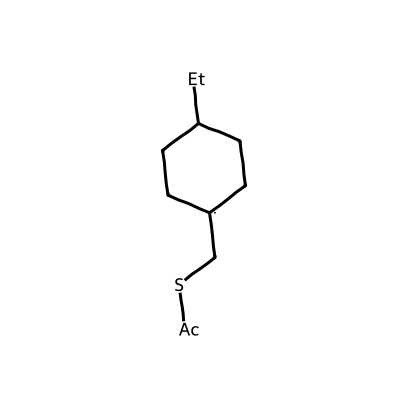 CCC1CC[C](CSC(C)=O)CC1